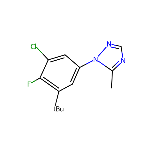 Cc1ncnn1-c1cc(Cl)c(F)c(C(C)(C)C)c1